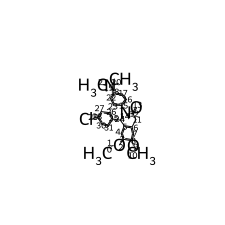 CCOc1cc2c(cc1OC)CC(=O)N(c1ccc(N(C)C)cc1)C2c1ccc(Cl)cc1